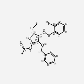 CC[C@H]1O[C@H](OC(C)=O)[C@H](OCc2ccccc2)[C@H]1OCc1ccccc1F